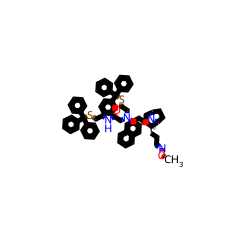 CON=CCC[C@H]1C2CCC(C[C@H]1c1ccc3ccccc3c1)N2CCCN(CCSC(c1ccccc1)(c1ccccc1)c1ccccc1)CC(=O)NCCSC(c1ccccc1)(c1ccccc1)c1ccccc1